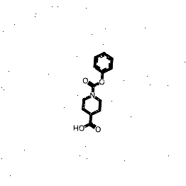 O=C(O)C1CCN(C(=O)Oc2ccccc2)CC1